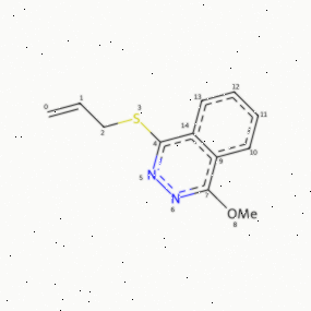 C=CCSc1nnc(OC)c2ccccc12